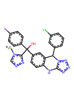 Cn1cnnc1C(O)(c1ccc(I)cc1)c1ccc2c(c1)C(c1cccc(Cl)c1)n1nnnc1N2